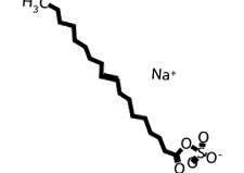 CCCCCCCCC=CCCCCCCCC(=O)OS(=O)(=O)[O-].[Na+]